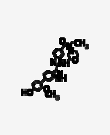 CCN(C(=O)c1ccc2nc(-c3n[nH]c4cc(-c5ccc(O)cc5OC)ccc34)[nH]c2c1)N1CCOCC1